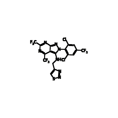 FC(F)(F)c1cc(Cl)c(-n2nc3nc(C(F)(F)F)nc(C(F)(F)F)c3c2NCc2csnn2)c(Cl)c1